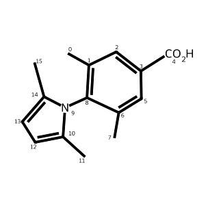 Cc1cc(C(=O)O)cc(C)c1-n1c(C)ccc1C